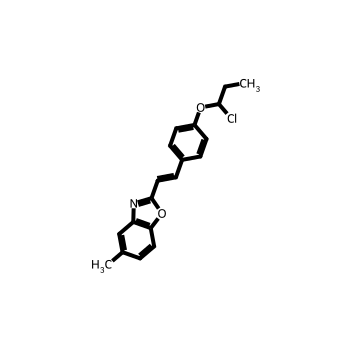 CCC(Cl)Oc1ccc(/C=C/c2nc3cc(C)ccc3o2)cc1